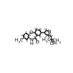 Cc1ccc2c(c1)NC(=O)c1cc(-c3cnn(CC(C)(C)O)c3)ccc1O2